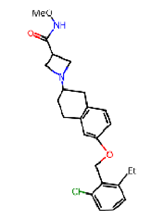 CCc1cccc(Cl)c1COc1ccc2c(c1)CCC(N1CC(C(=O)NOC)C1)C2